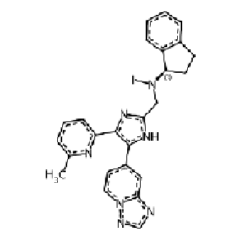 Cc1cccc(-c2nc(CN(I)[C@@H]3CCc4ccccc43)[nH]c2-c2ccn3ncnc3c2)n1